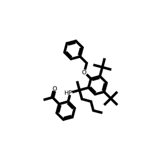 CCCCC(C)(Pc1ccccc1C(C)=O)c1cc(C(C)(C)C)cc(C(C)(C)C)c1OCc1ccccc1